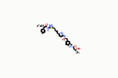 COC(C(=O)Nc1nnc(CCCCc2ccc(NC(=O)Cc3cccc(CNC(=O)CC(O)C(F)(F)F)c3)nn2)s1)c1ccccc1